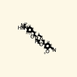 COc1cc([C@H]2CN3CCN(C(=O)Cc4ccc(-n5cn[nH]5)cc4)C[C@@H]3CO2)ccc1C#N